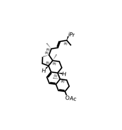 CC(=O)OC1=CC2=CC=C3[C@@H]4CC[C@H]([C@H](C)C=C[C@H](C)C(C)C)[C@@]4(C)CC[C@@H]3[C@@]2(C)CC1